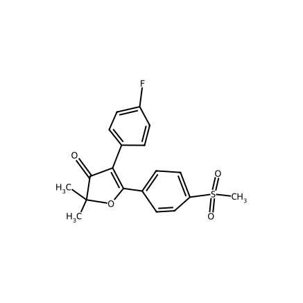 CC1(C)OC(c2ccc(S(C)(=O)=O)cc2)=C(c2ccc(F)cc2)C1=O